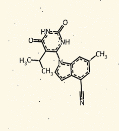 Cc1cc(C#N)c2ccn(-c3[nH]c(=O)[nH]c(=O)c3C(C)C)c2c1